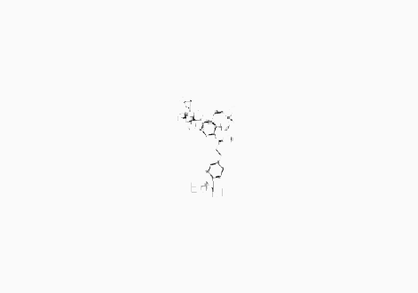 CCN(CC)c1ccc(C=CC(=O)c2ccc(OS(=O)(=O)C3CC3)c3c2OC(C)(C)C=C3)cc1